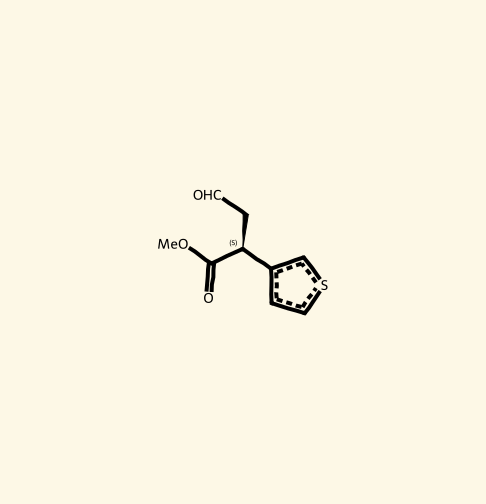 COC(=O)[C@@H](CC=O)c1ccsc1